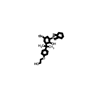 CC(C)(C)c1cc(-n2nc3ccccc3n2)c(O)c(C(C)(C)c2ccc(OCCO)cc2)c1